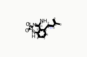 C=C(C)/C=C/c1cccc2c1C(N)=NS(=O)(=O)N2